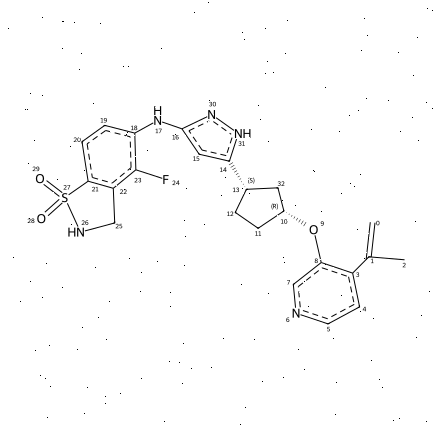 C=C(C)c1ccncc1O[C@@H]1CC[C@H](c2cc(Nc3ccc4c(c3F)CNS4(=O)=O)n[nH]2)C1